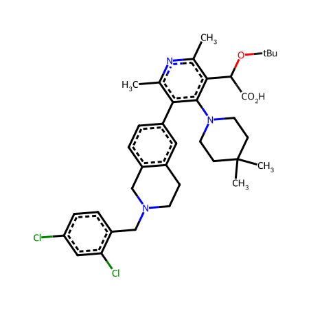 Cc1nc(C)c(C(OC(C)(C)C)C(=O)O)c(N2CCC(C)(C)CC2)c1-c1ccc2c(c1)CCN(Cc1ccc(Cl)cc1Cl)C2